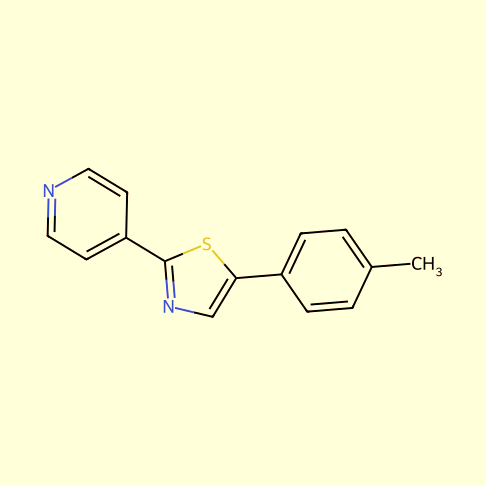 Cc1ccc(-c2cnc(-c3ccncc3)s2)cc1